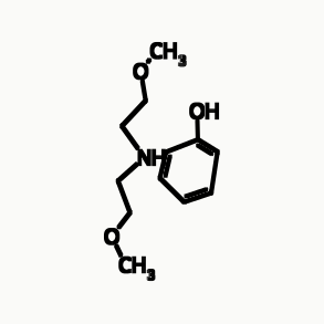 COCCNCCOC.Oc1ccccc1